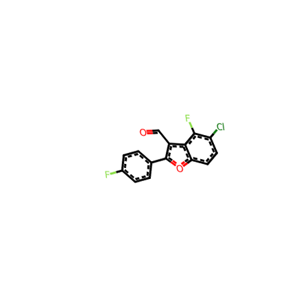 O=Cc1c(-c2ccc(F)cc2)oc2ccc(Cl)c(F)c12